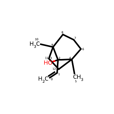 C=CC1(O)C2(C)CCCC1(C)CC2